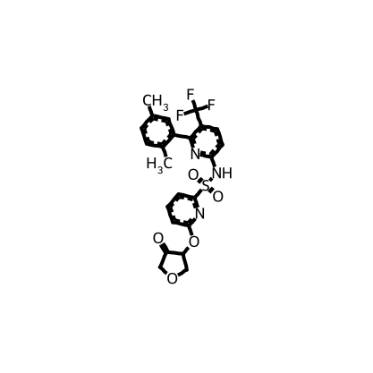 Cc1ccc(C)c(-c2nc(NS(=O)(=O)c3cccc(OC4COCC4=O)n3)ccc2C(F)(F)F)c1